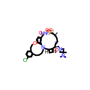 CO[C@@]1(CN2CC(C)(N(C)C)C2)/C=C/C[C@H](C)[C@@H](C)S(=O)(=O)NC(=O)c2ccc3c(c2)N(CCCCc2cc(Cl)ccc2CCO3)C[C@@H]2CC[C@H]21